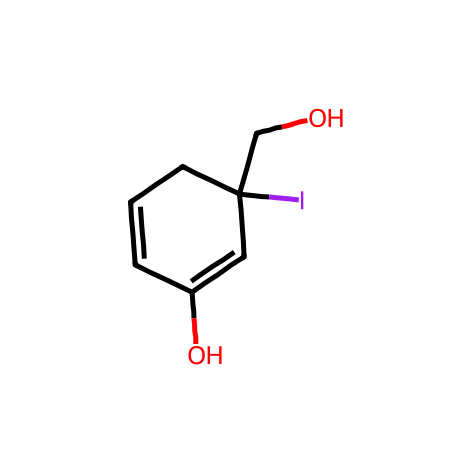 OCC1(I)C=C(O)C=CC1